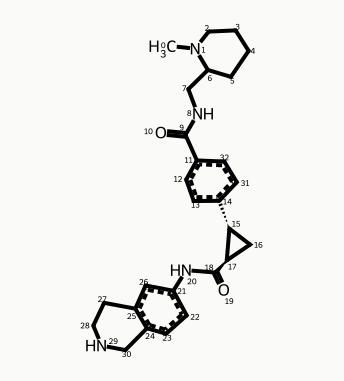 CN1CCCCC1CNC(=O)c1ccc([C@@H]2C[C@H]2C(=O)Nc2ccc3c(c2)CCNC3)cc1